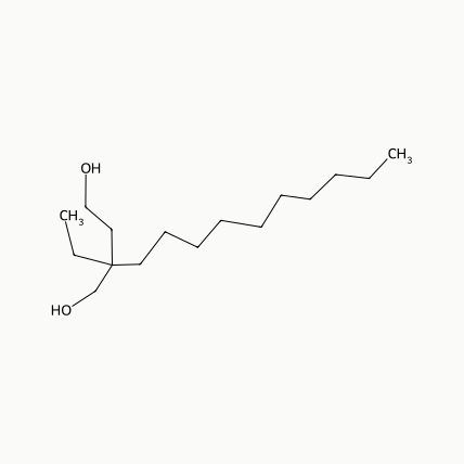 CCCCCCCCCCC(CC)(CO)CCO